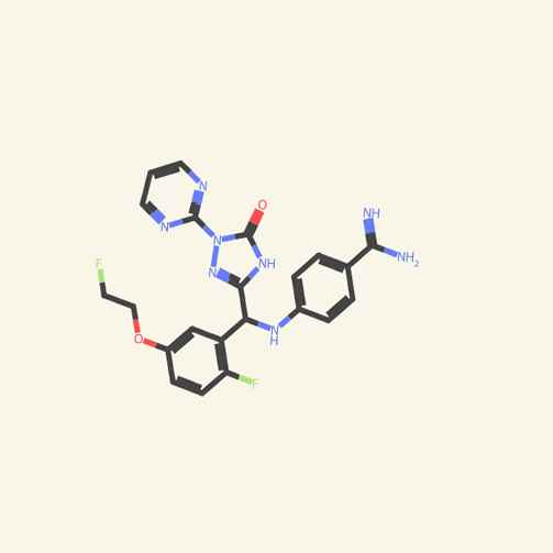 N=C(N)c1ccc(NC(c2nn(-c3ncccn3)c(=O)[nH]2)c2cc(OCCF)ccc2F)cc1